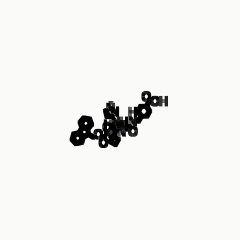 Cn1ccc(NC(=O)/C(=N\NC(=O)NCC2CCC(C(=O)O)CC2)C2(NC(=O)OCC3c4ccccc4-c4ccccc43)CCC2)n1